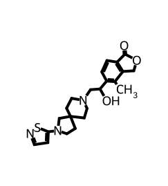 Cc1c(C(O)CN2CCC3(CC2)CCN(c2ccns2)C3)ccc2c1COC2=O